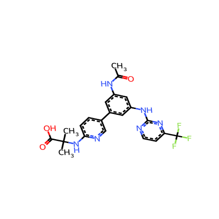 CC(=O)Nc1cc(Nc2nccc(C(F)(F)F)n2)cc(-c2ccc(NC(C)(C)C(=O)O)nc2)c1